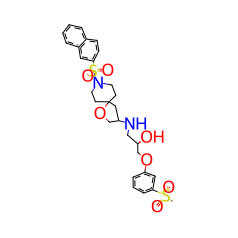 CS(=O)(=O)c1cccc(OC[C@H](O)CNC2COC3(CCN(S(=O)(=O)c4ccc5ccccc5c4)CC3)C2)c1